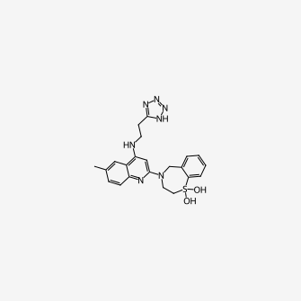 Cc1ccc2nc(N3CCS(O)(O)c4ccccc4C3)cc(NCCc3nnn[nH]3)c2c1